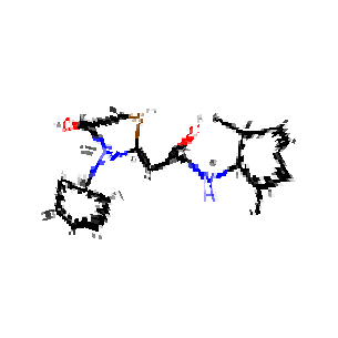 Cc1cccc(C)c1NC(=O)C=C1SCC(=O)N1c1ccccc1